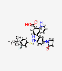 CC(C)(C)c1ccc(SNc2ccc(N3CCCC3=O)cc2-c2ccc(C(=O)O)c3c2C=CCN3)cc1F